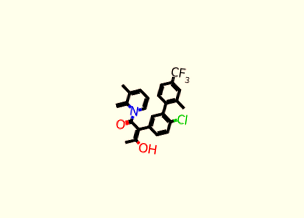 C=C1C(C)=CC=CN1C(=O)/C(=C(\C)O)c1ccc(Cl)c(-c2ccc(C(F)(F)F)cc2C)c1